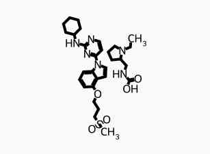 CCN1CCCC1CNC(=O)O.CS(=O)(=O)CCCOc1cccc2c1ccn2-c1ccnc(NC2CCCCC2)n1